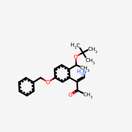 CC(=O)/C(=C/N)c1cc(OCc2ccccc2)ccc1C(C)OC(C)(C)C